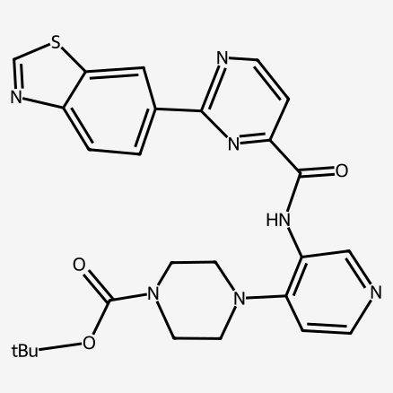 CC(C)(C)OC(=O)N1CCN(c2ccncc2NC(=O)c2ccnc(-c3ccc4ncsc4c3)n2)CC1